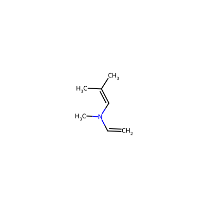 C=CN(C)C=C(C)C